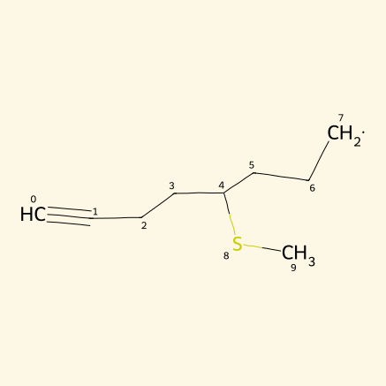 C#CCCC(CC[CH2])SC